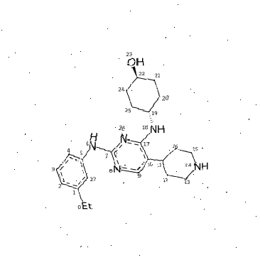 CCc1cccc(Nc2ncc(C3CCNCC3)c(N[C@H]3CC[C@H](O)CC3)n2)c1